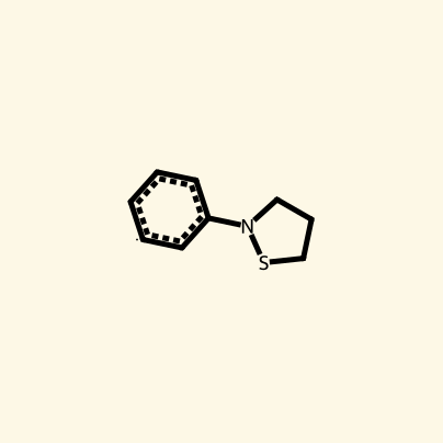 [c]1cccc(N2CCCS2)c1